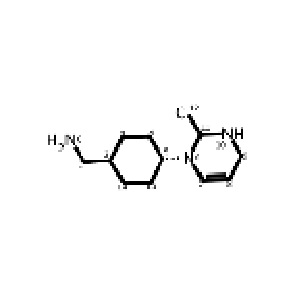 NC[C@H]1CC[C@H](N2C=CCNC2Cl)CC1